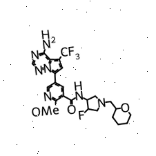 COc1ncc(-c2cc(C(F)(F)F)c3c(N)ncnn23)cc1C(=O)NC1CN(CC2CCCCO2)CC1F